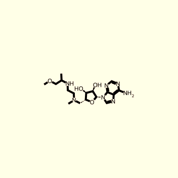 COCC(C)NCCN(C)C[C@H]1O[C@@H](n2cnc3c(N)ncnc32)[C@H](O)[C@@H]1O